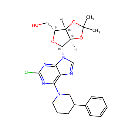 CC1(C)O[C@@H]2[C@H](O1)[C@@H](CO)O[C@H]2n1cnc2c(N3CCCC(c4ccccc4)C3)nc(Cl)nc21